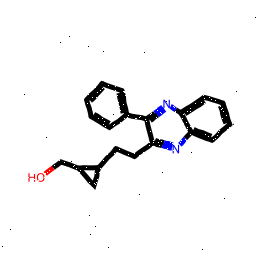 OCC1CC1CCc1nc2c[c]ccc2nc1-c1ccccc1